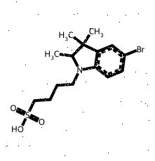 CC1N(CCCCS(=O)(=O)O)c2ccc(Br)cc2C1(C)C